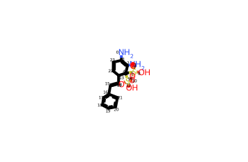 NC1=C(N)C(S(=O)(=O)O)(S(=O)(=O)O)C(C=Cc2ccccc2)C=C1